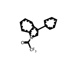 O=C(n1cc(-c2ccccc2)c2ccccc21)C(F)(F)F